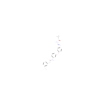 N#Cc1cccc(CC(=O)Nc2cc(Oc3ccc4nc(NC(=O)C5CC5)sc4c3)ccc2F)c1